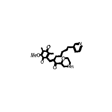 COC1=C(C)C(=O)C(C)=C(C=C(CCCCCc2cccnc2)C(=O)C2CNCCO2)C1=O